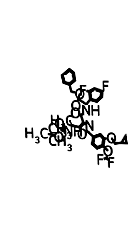 C[C@H](NC(=O)OC(C)(C)C)c1oc(-c2ccc(OC(F)F)c(OCC3CC3)c2)nc1C(=O)NC(C(=O)OCc1ccccc1)c1ccc(F)cc1F